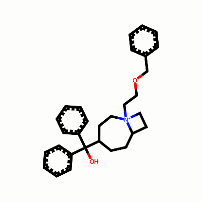 OC(c1ccccc1)(c1ccccc1)C1CCC2CC[N+]2(CCOCc2ccccc2)CC1